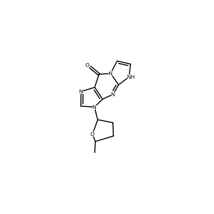 CC1CCC(n2cnc3c(=O)n4cc[nH]c4nc32)O1